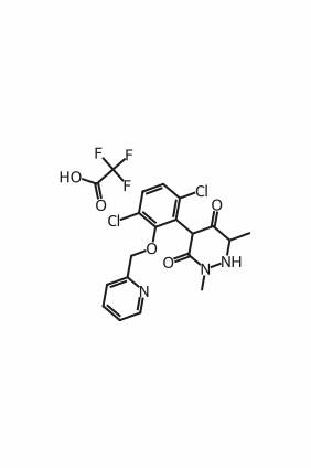 CC1NN(C)C(=O)C(c2c(Cl)ccc(Cl)c2OCc2ccccn2)C1=O.O=C(O)C(F)(F)F